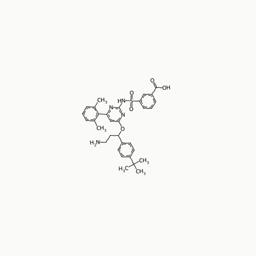 Cc1cccc(C)c1-c1cc(OC(CCN)c2ccc(C(C)(C)C)cc2)nc(NS(=O)(=O)c2cccc(C(=O)O)c2)n1